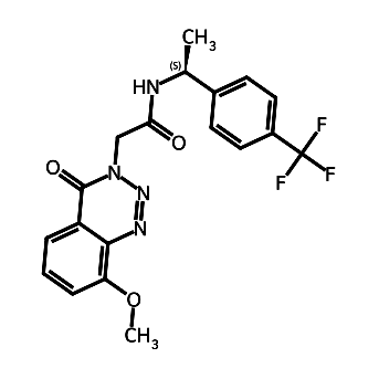 COc1cccc2c(=O)n(CC(=O)N[C@@H](C)c3ccc(C(F)(F)F)cc3)nnc12